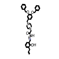 C=CCc1cccc(/C=N/NC(=O)CN2CCN(Cc3ccc(OCc4ccccc4)c(OCc4ccccc4)c3)CC2)c1O